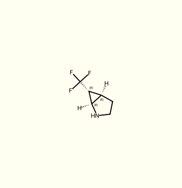 FC(F)(F)[C@@H]1[C@H]2CCN[C@H]21